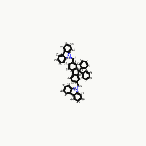 c1ccc(C2(c3ccccc3)c3cc(Cn4c5ccccc5c5ccccc54)ccc3-c3ccc(Cn4c5ccccc5c5ccccc54)cc32)cc1